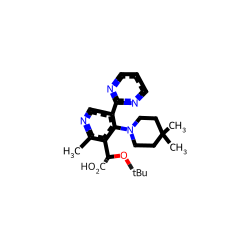 Cc1ncc(-c2ncccn2)c(N2CCC(C)(C)CC2)c1C(OC(C)(C)C)C(=O)O